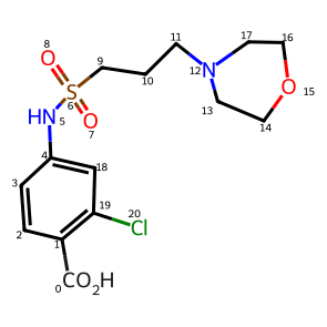 O=C(O)c1ccc(NS(=O)(=O)CCCN2CCOCC2)cc1Cl